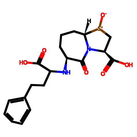 O=C(O)C(CCc1ccccc1)N[C@H]1CCC[C@@H]2N(C1=O)[C@H](C(=O)O)C[S+]2[O-]